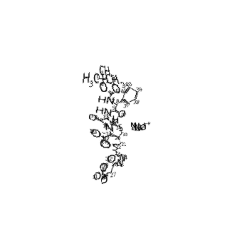 CC(C)(C)OC(=O)NC(C(=O)NC1C(=O)N2C(C(=O)[O-])=C(CSc3nnc(CS(=O)(=O)[O-])o3)CS[C@@H]12)c1ccccc1.[Na+].[Na+]